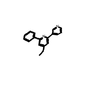 CCc1cc(-c2ccccc2)nc(-c2cccnc2)c1